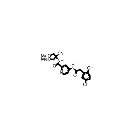 COCC(C#N)(COC)NC(=O)c1cc(NC(=O)Cc2cc(Cl)ccc2O)ccn1